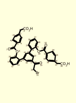 O=C(O)Cc1ccc(C(=O)Oc2ccccc2-c2cc(C(=O)CBr)cc(-c3ccccc3OC(=O)c3ccc(CC(=O)O)cc3)c2)cc1